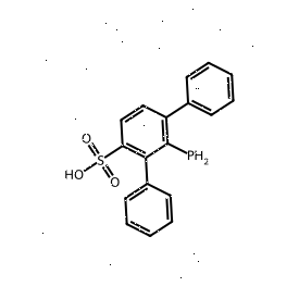 O=S(=O)(O)c1ccc(-c2ccccc2)c(P)c1-c1ccccc1